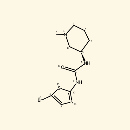 CN1CCC[C@@H](NC(=O)Nc2ncc(Br)s2)C1